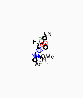 CO[C@H](C)Cn1c(CN2CCN(c3cccc4c3OC(C)(c3ccc(C#N)cc3F)O4)C3CC32)nc2ccc(C(C)=O)cc21